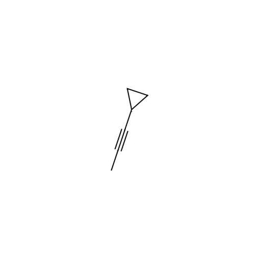 CC#C[C]1CC1